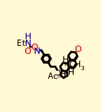 CCNC(=O)O/N=C/c1ccc(CCC[C@]23CC[C@@H]4[C@@H](C=CC5=CC(=O)CC[C@]54C)[C@@H]2CC[C@@H]3C(C)=O)cc1